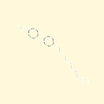 CCCCCCCCCc1ccc(-c2ccc(S)cc2)cc1